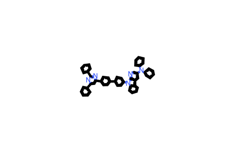 c1ccc(-c2cc(-c3ccc(-c4ccc(-n5c6ccccc6c6cc(N(c7ccccc7)c7ccccc7)cnc65)cc4)cc3)nc(-c3ccccc3)n2)cc1